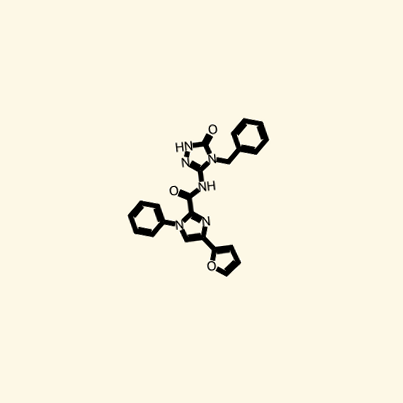 O=C(Nc1n[nH]c(=O)n1Cc1ccccc1)c1nc(-c2ccco2)cn1-c1ccccc1